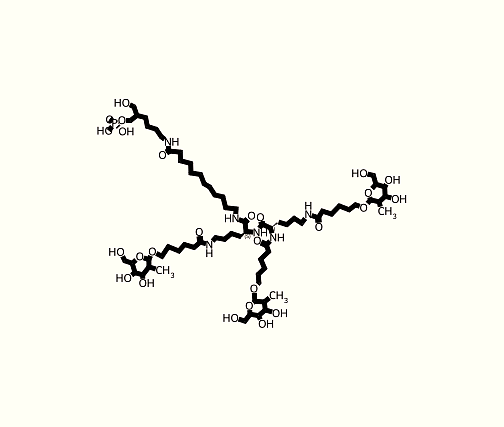 CC1C(OCCCCCC(=O)NCCCC[C@H](NC(=O)CCCCCOC2OC(CO)C(O)C(O)C2C)C(=O)N[C@@H](CCCCNC(=O)CCCCCOC2OC(CO)C(O)C(O)C2C)C(=O)NCCCCCCCCCCCC(=O)NCCCCC(CO)COP(=O)(O)O)OC(CO)C(O)C1O